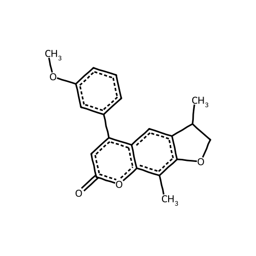 COc1cccc(-c2cc(=O)oc3c(C)c4c(cc23)C(C)CO4)c1